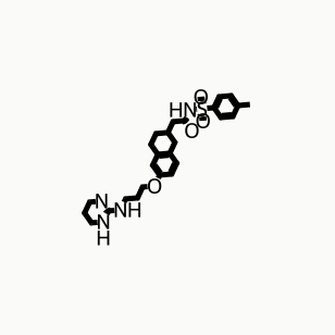 Cc1ccc(S(=O)(=O)NC(=O)CC2CCc3cc(OCCCNC4=NCCCN4)ccc3C2)cc1